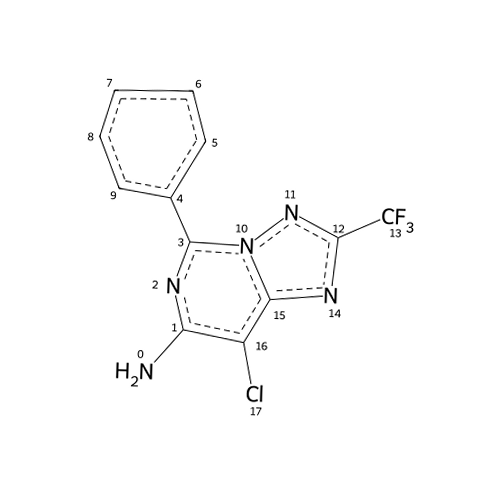 Nc1nc(-c2ccccc2)n2nc(C(F)(F)F)nc2c1Cl